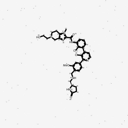 COc1cc(-c2nccc(-c3cccc(NC(=O)c4nc5c(n4C)CCN(CCO)C5)c3Cl)c2Cl)ccc1CNC[C@H]1CCC(=O)N1